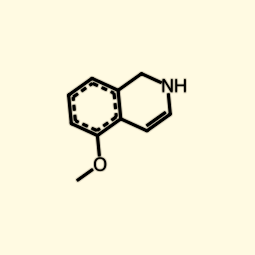 COc1cccc2c1C=CNC2